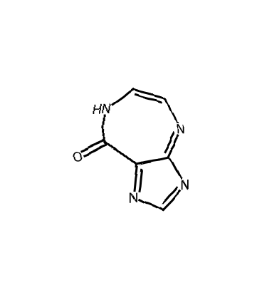 O=c1[nH]ccnc2ncnc1-2